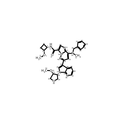 CO[C@H]1CC[C@@H]1NC(=O)c1cnc2c(N(C)Cc3ccccc3)cc(-c3cn([C@@H]4COC[C@H]4OC)c4ncccc34)nn12